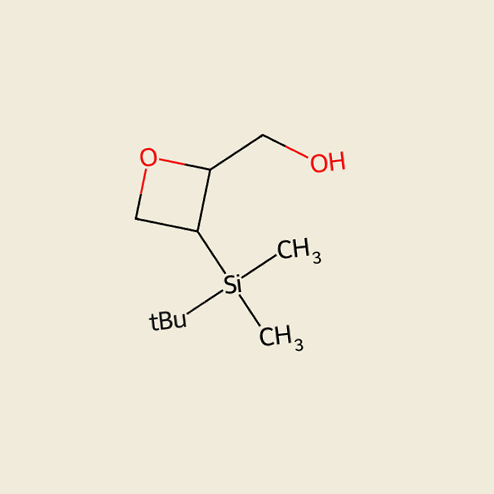 CC(C)(C)[Si](C)(C)C1COC1CO